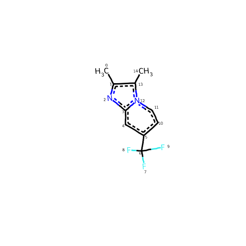 Cc1nc2cc(C(F)(F)F)ccn2c1C